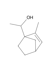 CC1=CC2CCC1(C(C)O)C2